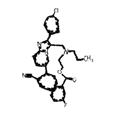 CCCN(CCOC(=O)c1cccc(F)c1)Cc1c(-c2ccc(Cl)cc2)nc2ccc(-c3ccccc3C#N)cn12